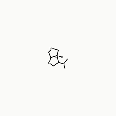 CN(C)C1COC2CNC[C@@H]21